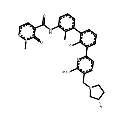 COc1nc(-c2cccc(-c3cccc(NC(=O)c4ccnn(C)c4=O)c3C)c2Cl)cnc1CN1CC[C@H](C)C1